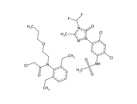 CCCOCCN(C(=O)CCl)c1c(CC)cccc1CC.Cc1nn(-c2cc(NS(C)(=O)=O)c(Cl)cc2Cl)c(=O)n1C(F)F